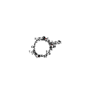 CC(C)C[C@H]1C(=O)N(C)CCCC/C=C/C(=O)OCC(C)(C)C(=O)C(=O)N2CCCC[C@H]2C(=O)OCc2cccc(c2)NC(=O)CCC(=O)N[C@@H](c2ccccc2)C(=O)N[C@@H](Cc2ccc(NC(=O)Cc3cccnc3)cc2)C(=O)N2CCC[C@@H]2C(=O)N1C